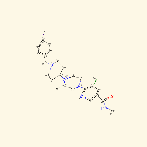 CCNC(=O)c1cnc(N2CCN(C3CCN(Cc4ccc(I)cc4)CC3)[C@@H](CC)C2)c(Cl)c1